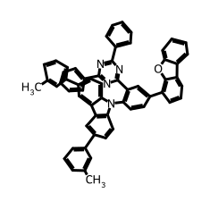 Cc1cccc(-c2ccc3c(c2)c2cc(-c4cccc(C)c4)ccc2n3-c2ccc(-c3cccc4c3oc3ccccc34)cc2-c2nc(-c3ccccc3)nc(-c3ccccc3)n2)c1